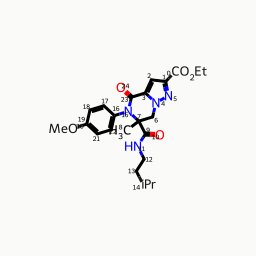 CCOC(=O)c1cc2n(n1)CC(C)(C(=O)NCCC(C)C)N(c1ccc(OC)cc1)C2=O